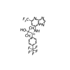 CC(C)(O)[C@H](Nc1cc(C(F)(F)F)nc2ncnn12)c1ccc(S(F)(F)(F)(F)F)cc1